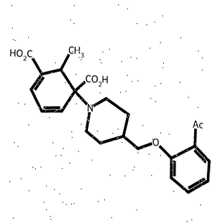 CC(=O)c1ccccc1OCC1CCN(C2(C(=O)O)C=CC=C(C(=O)O)C2C)CC1